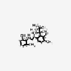 Cc1ccc(C(C)CNc2c(C)cccc2C)c(C(C)(C)C(C)(C)C)c1F